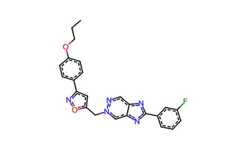 CCCOc1ccc(-c2cc(Cn3cc4nc(-c5cccc(F)c5)nc-4cn3)on2)cc1